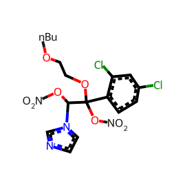 CCCCOCCOC(O[N+](=O)[O-])(c1ccc(Cl)cc1Cl)C(O[N+](=O)[O-])n1ccnc1